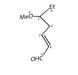 CCC(CC=CC=O)OC